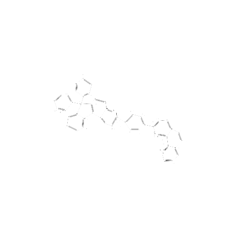 c1ccc(C2(c3ccccc3)c3ccccc3-c3c2ccc2nc(-c4ccc(-c5ccc6ccc7cccnc7c6n5)cc4)ccc32)cc1